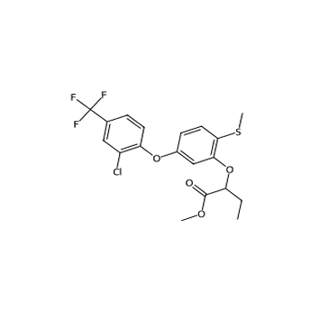 CCC(Oc1cc(Oc2ccc(C(F)(F)F)cc2Cl)ccc1SC)C(=O)OC